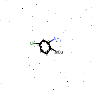 CCCCc1ccc(Cl)cc1N